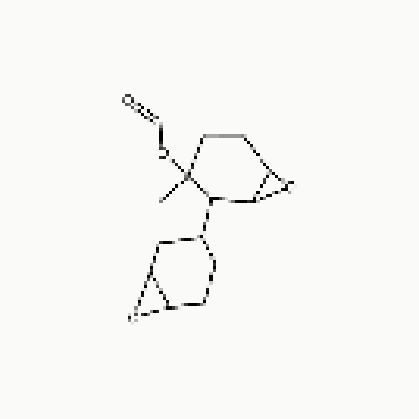 CC1(OC=O)CCC2OC2C1C1CCC2OC2C1